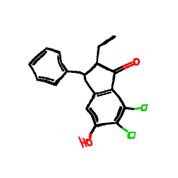 CCC1C(=O)c2c(cc(O)c(Cl)c2Cl)C1c1ccccc1